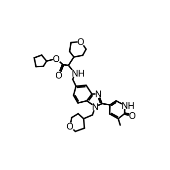 Cc1cc(-c2nc3cc(CNC(C(=O)OC4CCCC4)C4CCOCC4)ccc3n2CC2CCOCC2)c[nH]c1=O